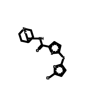 O=C(NC1CN2CCC1CC2)c1ccc(Sc2ccc(Cl)o2)s1